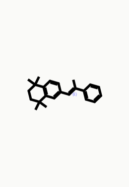 C/C(=C\c1ccc2c(c1)C(C)(C)CCC2(C)C)c1ccccc1